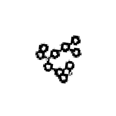 c1ccc(-c2ccc(-c3ccc(N(c4cccc(-c5cc6c7c(cccc7c5)Oc5ccccc5-6)c4)c4cccc5ccccc45)cc3)cc2-c2ccccc2)cc1